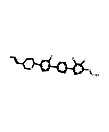 C/C=C/C1CCC(c2ccc(-c3ccc(-c4ccc(OCCCCCCC)c(F)c4F)cc3)c(F)c2)OC1